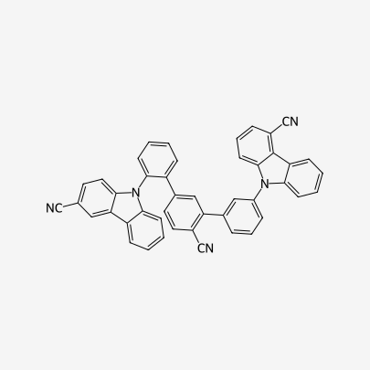 N#Cc1ccc2c(c1)c1ccccc1n2-c1ccccc1-c1ccc(C#N)c(-c2cccc(-n3c4ccccc4c4c(C#N)cccc43)c2)c1